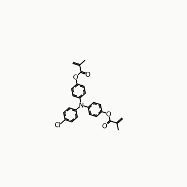 C=C(C)C(=O)Oc1ccc(N(c2ccc(Cl)cc2)c2ccc(OC(=O)C(=C)C)cc2)cc1